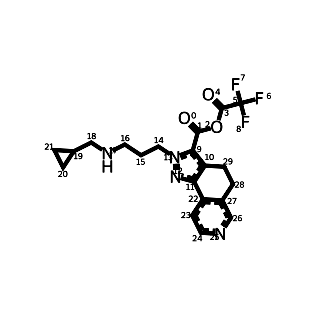 O=C(OC(=O)C(F)(F)F)c1c2c(nn1CCCNCC1CC1)-c1ccncc1CC2